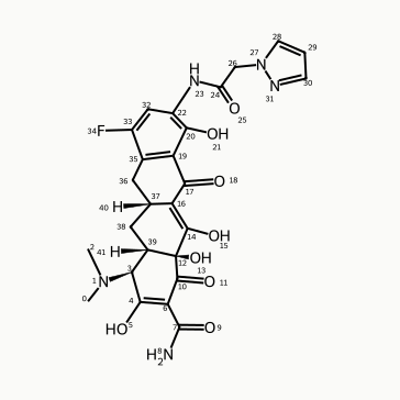 CN(C)[C@@H]1C(O)=C(C(N)=O)C(=O)[C@@]2(O)C(O)=C3C(=O)c4c(O)c(NC(=O)Cn5cccn5)cc(F)c4C[C@H]3C[C@@H]12